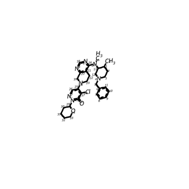 CC1CCN(Cc2ccccc2)CC1N(C)c1ncnc2c1CCN(c1cnn(C3CCCCO3)c(=O)c1Cl)C2